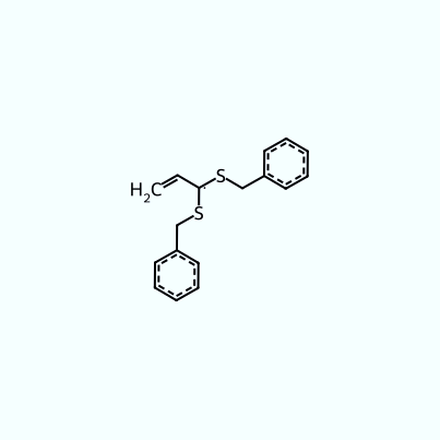 C=C[C](SCc1ccccc1)SCc1ccccc1